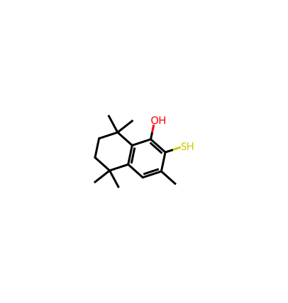 Cc1cc2c(c(O)c1S)C(C)(C)CCC2(C)C